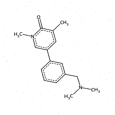 Cc1cc(-c2cccc(CN(C)C)c2)cn(C)c1=O